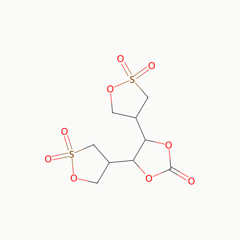 O=C1OC(C2COS(=O)(=O)C2)C(C2COS(=O)(=O)C2)O1